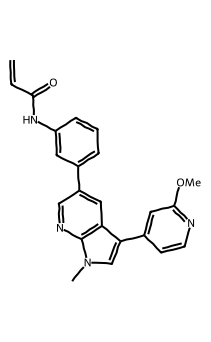 C=CC(=O)Nc1cccc(-c2cnc3c(c2)c(-c2ccnc(OC)c2)cn3C)c1